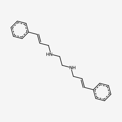 C(=Cc1ccccc1)CNCCNCC=Cc1ccccc1